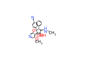 CCNC[C@@H]1C(c2ccccc2)C2(c3ccc(C#N)cc3)Oc3cncc(OC)c3[C@]2(O)[C@@H]1O